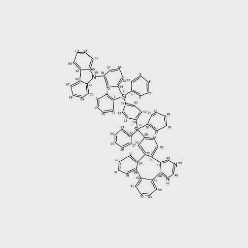 c1ccc([Si](c2ccccc2)(c2ccc([Si](c3ccccc3)(c3ccccc3)c3ccc4c(c3)-c3ccccc3-c3ccccc3-c3ncncc3-4)cc2)c2cccc(-n3c4ccccc4c4ccccc43)c2)cc1